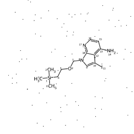 C[Si](C)(C)CCOCn1cc(I)c2c(N)ccnc21